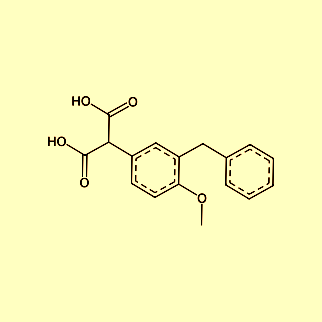 COc1ccc(C(C(=O)O)C(=O)O)cc1Cc1ccccc1